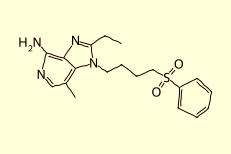 CCc1nc2c(N)ncc(C)c2n1CCCCS(=O)(=O)c1ccccc1